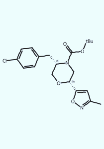 Cc1cc([C@H]2CN(C(=O)OC(C)(C)C)[C@@H](Cc3ccc(Cl)cc3)CO2)on1